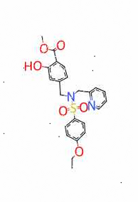 CCOc1ccc(S(=O)(=O)N(Cc2ccc(C(=O)OC)c(O)c2)Cc2ccccn2)cc1